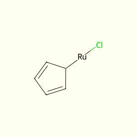 [Cl][Ru][CH]1C=CC=C1